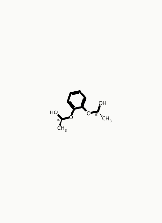 C[C@@H](O)Oc1ccccc1O[C@@H](C)O